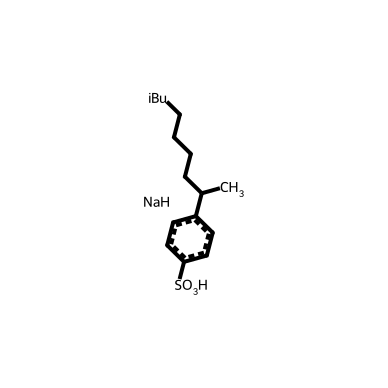 CCC(C)CCCCC(C)c1ccc(S(=O)(=O)O)cc1.[NaH]